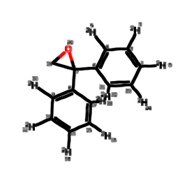 [2H]c1c([2H])c([2H])c(C2(c3c([2H])c([2H])c([2H])c([2H])c3[2H])CO2)c([2H])c1[2H]